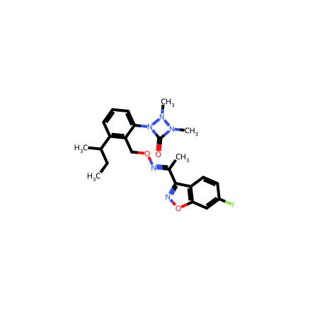 CCC(C)c1cccc(-n2c(=O)n(C)n2C)c1CO/N=C(\C)c1noc2cc(F)ccc12